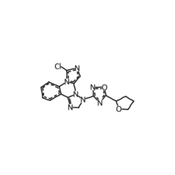 Clc1ncc2n1-c1ccccc1C1=NCN(c3noc(C4CCCO4)n3)N12